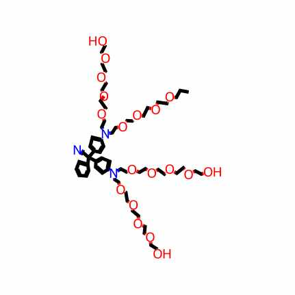 CCCOCCOCCOCCOCCN(CCOCCOCCOCCOCCO)c1ccc(C(C#N)(c2ccccc2)c2ccc(N(CCOCCOCCOCCOCCO)CCOCCOCCOCCOCCO)cc2)cc1